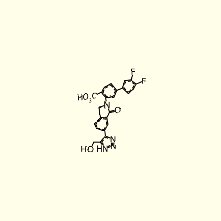 O=C(O)c1ccc(-c2ccc(F)c(F)c2)cc1N1Cc2ccc(-c3nn[nH]c3CO)cc2C1=O